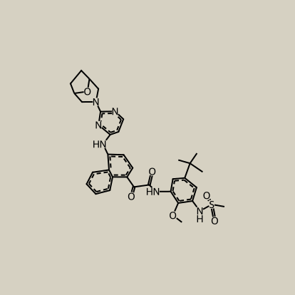 COc1c(NC(=O)C(=O)c2ccc(Nc3ccnc(N4CC5CCC(C4)O5)n3)c3ccccc23)cc(C(C)(C)C)cc1NS(C)(=O)=O